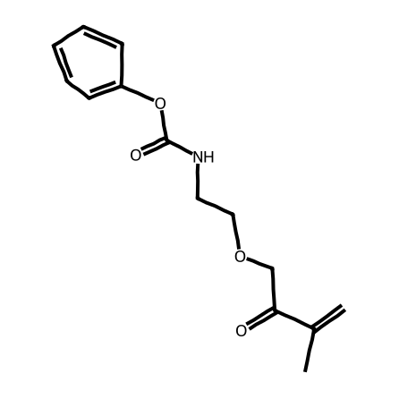 C=C(C)C(=O)COCCNC(=O)Oc1ccccc1